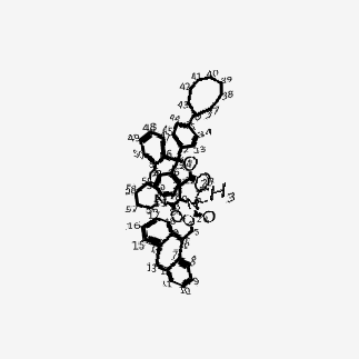 CN(C(=O)OCC1c2ccccc2Cc2ccccc21)C(CC(=O)OC(c1ccccc1)(c1ccc(C2CCCCCCC2)cc1)c1ccccc1Cl)C(=O)N1CCCCC1